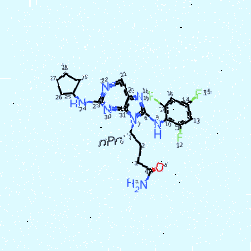 CCC[C@@H](CCC(N)=O)n1c(Nc2c(F)cc(F)cc2F)nc2cnc(NC3CCCC3)nc21